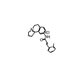 Cc1ccccc1C=CC(=O)Nc1ccc2c(c1)C1CCCN1CC2.Cl